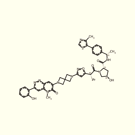 Cc1ncsc1-c1ccc([C@H](C)NC(=O)[C@@H]2C[C@@H](O)CN2C(=O)[C@@H](c2cc(N3CC4(C3)CN(c3cc5nnc(-c6ccccc6O)cc5n(C)c3=O)C4)no2)C(C)C)cc1